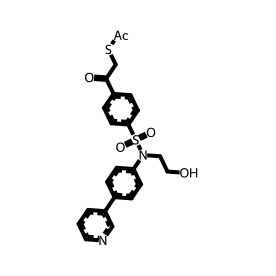 CC(=O)SCC(=O)c1ccc(S(=O)(=O)N(CCO)c2ccc(-c3cccnc3)cc2)cc1